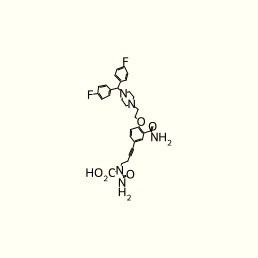 NC(=O)c1cc(C#CCCN(C(N)=O)C(=O)O)ccc1OCCN1CCN(C(c2ccc(F)cc2)c2ccc(F)cc2)CC1